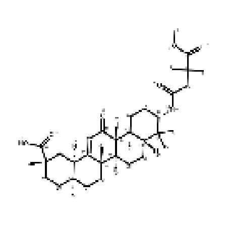 COC(=O)C(C)(C)CC(=O)N[C@H]1CC[C@]2(C)[C@H]3C(=O)C=C4[C@@H]5C[C@@](C)(C(=O)O)CC[C@]5(C)CC[C@@]4(C)[C@]3(C)CC[C@H]2C1(C)C